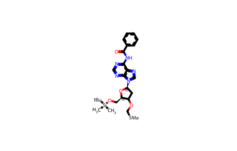 CSCOC1C[C@H](n2cnc3c(NC(=O)c4ccccc4)ncnc32)O[C@@H]1CO[Si](C)(C)C(C)(C)C